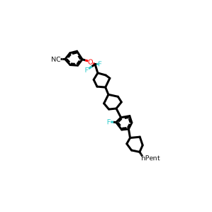 CCCCCC1CCC(c2ccc(C3CCC(C4CCC(C(F)(F)Oc5ccc(C#N)cc5)CC4)CC3)c(F)c2)CC1